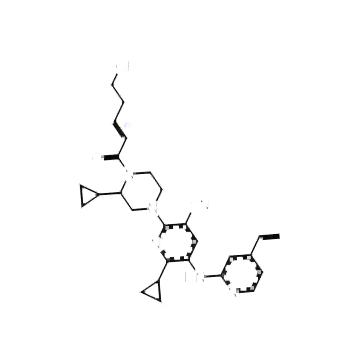 C=Cc1ccnc(Nc2cc(C#N)c(N3CCN(C(=O)/C=C/CCO)C(C4CC4)C3)nc2C2CC2)c1